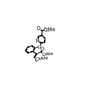 CO/C=C(\C(=O)OC)c1ccccc1Oc1ccc(C(=O)OC)cn1